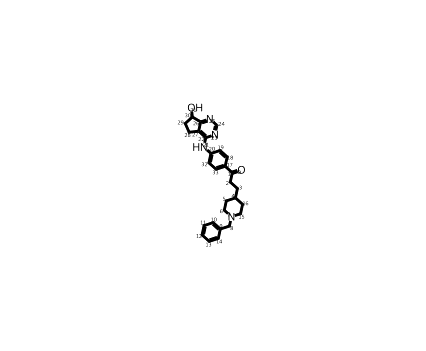 O=C(CCC1CCN(Cc2ccccc2)CC1)c1ccc(Nc2ncnc3c2CCC3O)cc1